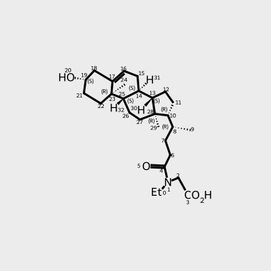 CCN(CC(=O)O)C(=O)CC[C@@H](C)[C@H]1CC[C@H]2[C@@H]3CC=C4C[C@@H](O)CC[C@]4(C)[C@H]3CC[C@]12C